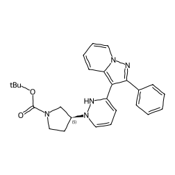 CC(C)(C)OC(=O)N1CC[C@H](N2C=CC=C(c3c(-c4ccccc4)nn4ccccc34)N2)C1